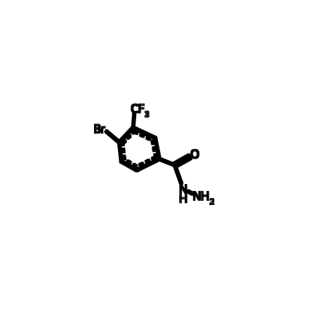 NNC(=O)c1ccc(Br)c(C(F)(F)F)c1